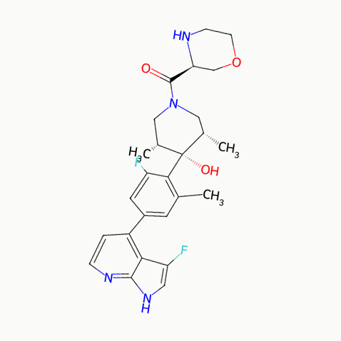 Cc1cc(-c2ccnc3[nH]cc(F)c23)cc(F)c1[C@@]1(O)[C@H](C)CN(C(=O)[C@@H]2COCCN2)C[C@@H]1C